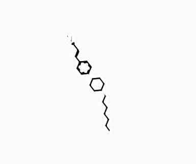 CCCCCCC[C@H]1CC[C@H](c2ccc(C=CC#N)cc2)CC1